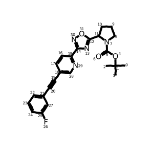 CC(C)(C)OC(=O)N1CCCC1c1nc(-c2ccc(C#Cc3cccc(F)c3)cn2)no1